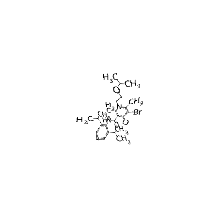 Cc1c(Br)c(=O)c(C(=O)Nc2c(C(C)C)cccc2C(C)C)c(C)n1CCOC(C)C